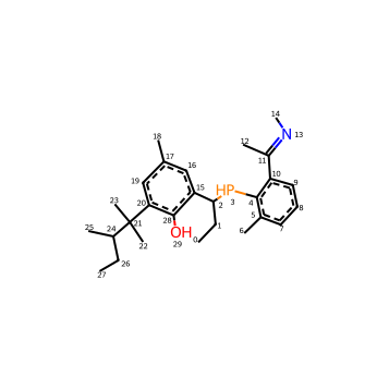 CCC(Pc1c(C)cccc1/C(C)=N/C)c1cc(C)cc(C(C)(C)C(C)CC)c1O